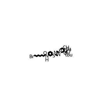 CC1(NC(=O)OC(C)(C)C)CCN(c2cnc(Sc3cccc(NC(=O)CCCCCCBr)c3)cn2)CC1